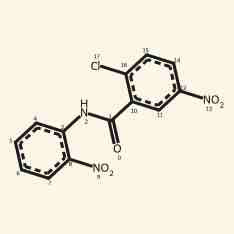 O=C(Nc1ccccc1[N+](=O)[O-])c1cc([N+](=O)[O-])ccc1Cl